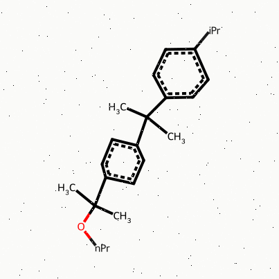 CCCOC(C)(C)c1ccc(C(C)(C)c2ccc(C(C)C)cc2)cc1